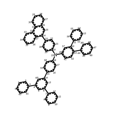 c1ccc(-c2cc(-c3ccccc3)cc(-c3ccc(N(c4ccc(-c5cc6ccccc6c6ccccc56)cc4)c4ccc(-c5ccccc5)c(-c5ccccc5)c4)cc3)c2)cc1